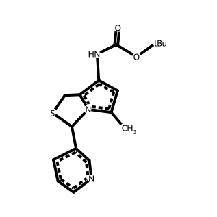 Cc1cc(NC(=O)OC(C)(C)C)c2n1C(c1cccnc1)SC2